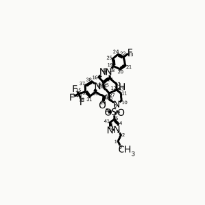 CCCn1cc(S(=O)(=O)N2CC[C@H]3Cc4c(cnn4-c4ccc(F)cc4)C[C@]3(C(=O)c3cc(C(F)(F)F)ccn3)C2)cn1